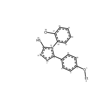 CCOc1ccc(-c2nnc(S)n2-c2ccccc2Cl)cc1